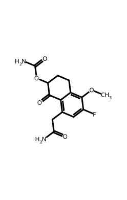 COc1c(F)cc(CC(N)=O)c2c1CCC(OC(N)=O)C2=O